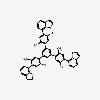 Cc1cc(-c2cccc3ccsc23)c(C)cc1-c1cc(-c2cc(C)c(-c3cccc4ccsc34)cc2C)cc(-c2cc(C)c(-c3cccc4ccsc34)cc2C)c1